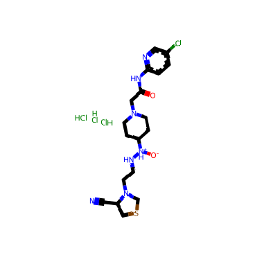 Cl.Cl.Cl.N#CC1CSCN1CCN[NH+]([O-])C1CCN(CC(=O)Nc2ccc(Cl)cn2)CC1